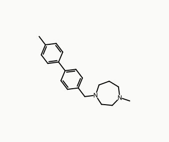 Cc1ccc(-c2ccc(CN3CCCN(C)CC3)cc2)cc1